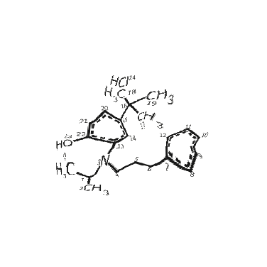 CC(C)N(CCCc1ccccc1)c1cc(C(C)(C)C)ccc1O.Cl